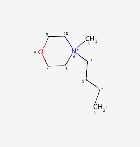 [CH2]CCC[N+]1(C)CCOCC1